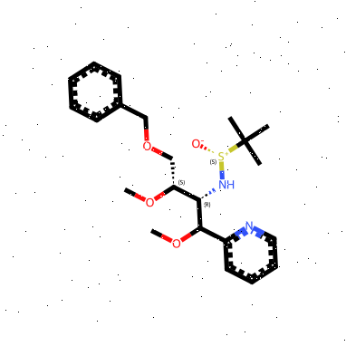 COC(c1ccccn1)[C@@H](N[S@+]([O-])C(C)(C)C)[C@@H](COCc1ccccc1)OC